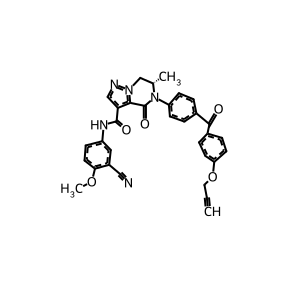 C#CCOc1ccc(C(=O)c2ccc(N3C(=O)c4c(C(=O)Nc5ccc(OC)c(C#N)c5)cnn4C[C@@H]3C)cc2)cc1